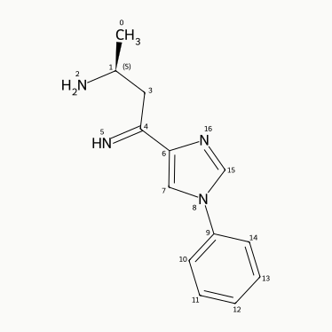 C[C@H](N)CC(=N)c1cn(-c2ccccc2)cn1